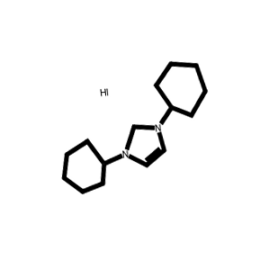 C1=CN(C2CCCCC2)CN1C1CCCCC1.I